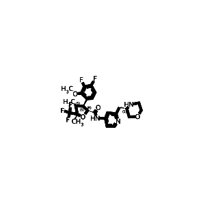 COc1c([C@H]2[C@H](C(=O)Nc3ccnc(C[C@H]4COCCN4)c3)O[C@@](C)(C(F)(F)F)[C@H]2C)ccc(F)c1F